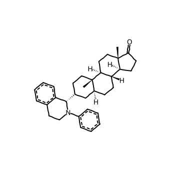 C[C@]12CCC([C@H]3c4ccccc4CCN3c3ccccc3)C[C@@H]1CC[C@@H]1[C@@H]2CC[C@]2(C)C(=O)CC[C@@H]12